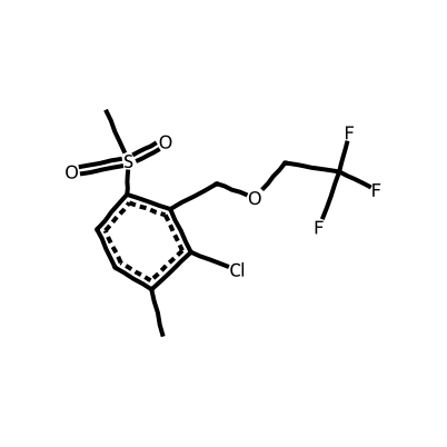 Cc1ccc(S(C)(=O)=O)c(COCC(F)(F)F)c1Cl